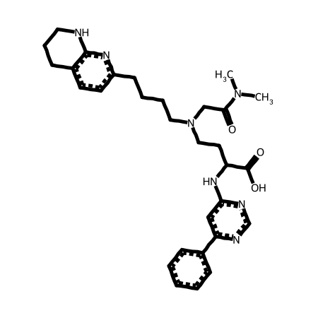 CN(C)C(=O)CN(CCCCc1ccc2c(n1)NCCC2)CCC(Nc1cc(-c2ccccc2)ncn1)C(=O)O